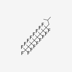 CC(C)CC(F)(F)C(F)(F)C(F)(F)C(F)(F)C(F)(F)C(F)(F)C(F)(F)C(F)(F)F